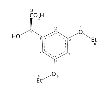 CCOc1cc(OCC)cc([C@@H](O)C(=O)O)c1